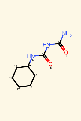 NC(=O)NC(=O)NC1CCCCC1